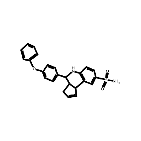 NS(=O)(=O)c1ccc2c(c1)C1C=CCC1C(c1ccc(Oc3ccccc3)cc1)N2